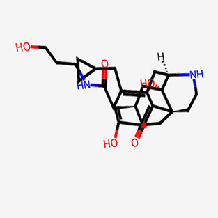 O=C(C[C@H]1C[C@@]2(O)[C@H]3Cc4c(CC5CC5)cc(O)cc4[C@@]2(CCN3)CC1=O)NCCCO